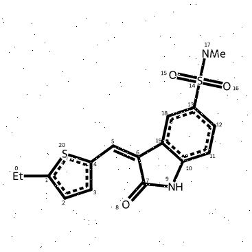 CCc1ccc(C=C2C(=O)Nc3ccc(S(=O)(=O)NC)cc32)s1